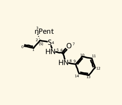 C=C[C@H](CCCCC)SNC(=O)Nc1ccccc1